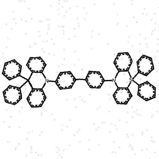 c1ccc(C2(c3ccccc3)c3ccccc3N(c3ccc(-c4ccc(N5c6ccccc6[Si](c6ccccc6)(c6ccccc6)c6ccccc65)cc4)cc3)c3ccccc32)cc1